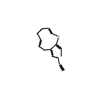 C#CC/C=C1/C/C=C/CC/C=C/S/C1=C/C